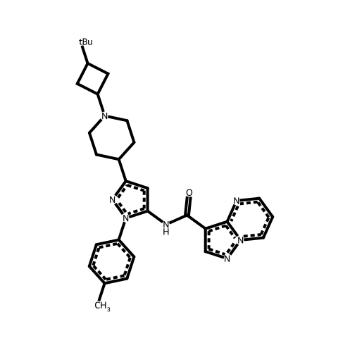 Cc1ccc(-n2nc(C3CCN(C4CC(C(C)(C)C)C4)CC3)cc2NC(=O)c2cnn3cccnc23)cc1